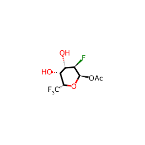 CC(=O)O[C@H]1O[C@H](C(F)(F)F)[C@H](O)[C@H](O)[C@H]1F